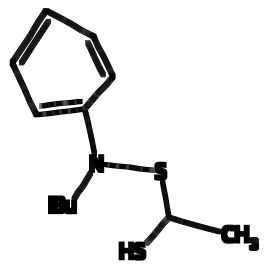 CCC(C)N(SC(C)S)c1ccccc1